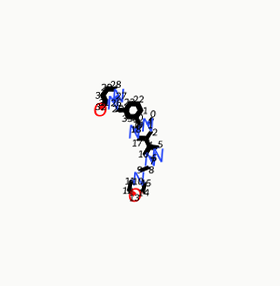 CN1CC(c2cnn(CCN3CCOCC3)c2)=CN=C1c1cccc(Cn2ncccc2=O)c1